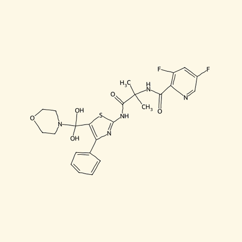 CC(C)(NC(=O)c1ncc(F)cc1F)C(=O)Nc1nc(-c2ccccc2)c(C(O)(O)N2CCOCC2)s1